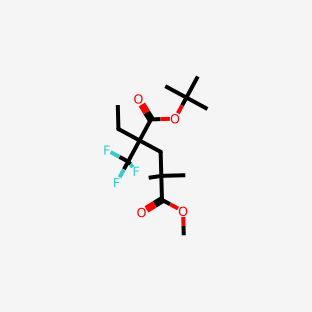 CCC(CC(C)(C)C(=O)OC)(C(=O)OC(C)(C)C)C(F)(F)F